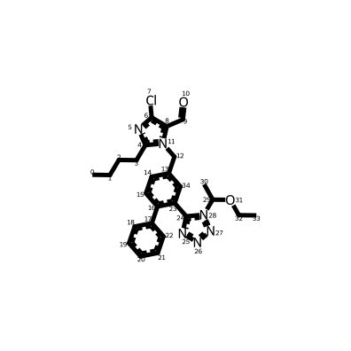 CCCCc1nc(Cl)c(C=O)n1Cc1ccc(-c2ccccc2)c(-c2nnnn2C(C)OCC)c1